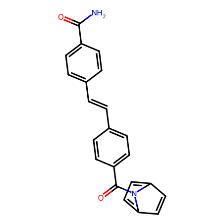 NC(=O)c1ccc(/C=C/c2ccc(C(=O)n3c4ccc3cc4)cc2)cc1